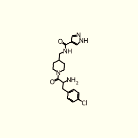 NC(Cc1ccc(Cl)cc1)C(=O)N1CCC(CNC(=O)c2cn[nH]c2)CC1